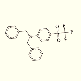 O=S(=O)(c1ccc(N(Cc2ccccc2)Cc2ccccc2)cc1)C(F)(F)F